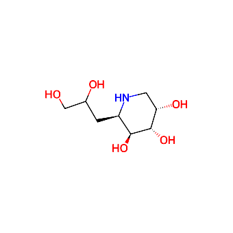 OCC(O)C[C@H]1NC[C@H](O)[C@H](O)[C@H]1O